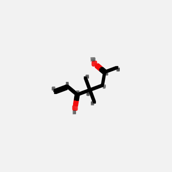 C=CC(=O)C(C)(C)CC(C)=O